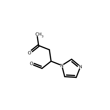 CC(=O)CC(C=O)n1ccnc1